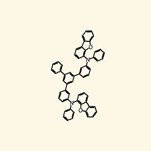 c1ccc(-c2cc(-c3cccc(N(c4ccccc4)c4cccc5c4oc4ccccc45)c3)cc(-c3cccc(N(c4ccccc4)c4cccc5c4oc4ccccc45)c3)c2)cc1